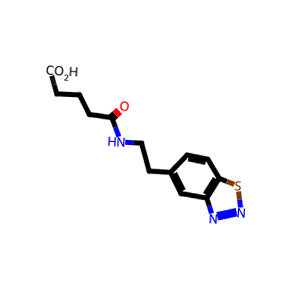 O=C(O)CCCC(=O)NCCc1ccc2snnc2c1